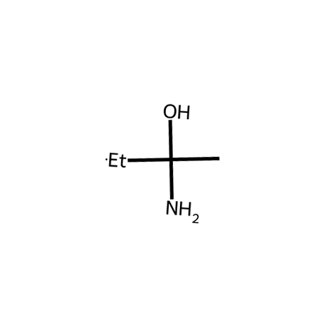 C[CH]C(C)(N)O